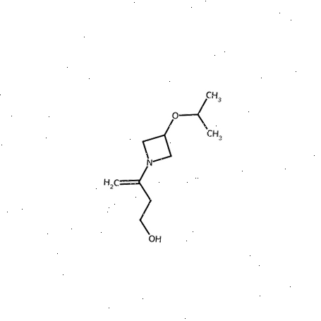 C=C(CCO)N1CC(OC(C)C)C1